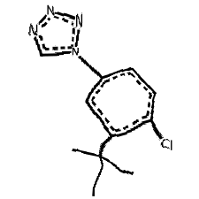 CC(C)(C)c1cc(-n2cnnn2)ccc1Cl